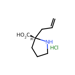 C=CC[C@@]1(C(=O)O)CCCN1.Cl